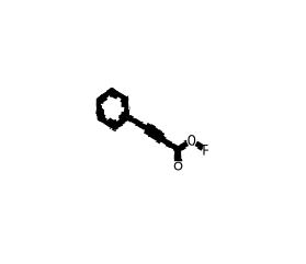 O=C(C#Cc1ccccc1)OF